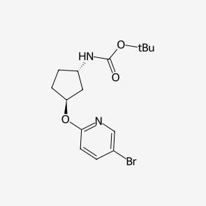 CC(C)(C)OC(=O)N[C@H]1CC[C@H](Oc2ccc(Br)cn2)C1